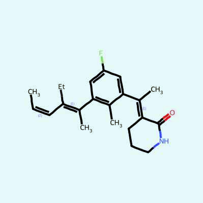 C/C=C\C(CC)=C(/C)c1cc(F)cc(/C(C)=C2\CCCNC2=O)c1C